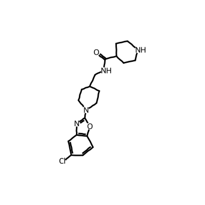 O=C(NCC1CCN(c2nc3cc(Cl)ccc3o2)CC1)C1CCNCC1